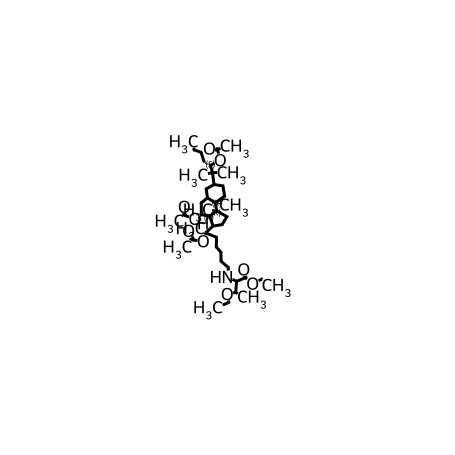 CCCC[C@H](OC(C)=O)C(C)(C)C1CC[C@]2(C)C(CC(OC(C)=O)[C@@H]3C(C(C)(CCCCCNC(C(=O)OCC)C(C)OCC)OC(C)=O)CC[C@]32C)C1